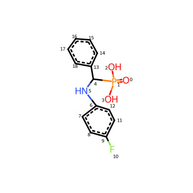 O=P(O)(O)C(Nc1ccc(F)cc1)c1ccccc1